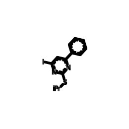 CC(C)Sc1nc(I)cc(-c2ccccc2)n1